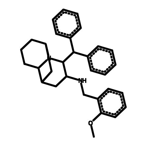 COc1ccccc1CNC1CC2CC3CCCC2N3C1C(c1ccccc1)c1ccccc1